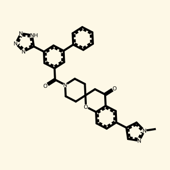 Cn1cc(-c2ccc3c(c2)C(=O)CC2(CCN(C(=O)c4cc(-c5ccccc5)cc(-c5nnn[nH]5)c4)CC2)O3)cn1